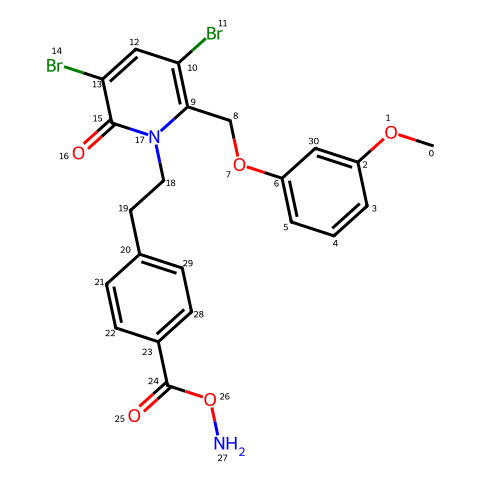 COc1cccc(OCc2c(Br)cc(Br)c(=O)n2CCc2ccc(C(=O)ON)cc2)c1